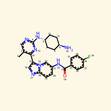 Cc1cnc(N[C@H]2CC[C@H](N)CC2)nc1-c1cnc2ccc(NC(=O)c3ccc(F)cc3)cn12